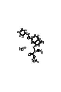 CCOC(=O)[C@@H](N)Cc1c[nH]c2ccc(OCc3ccccc3)cc12.Cl